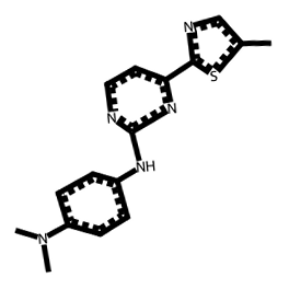 Cc1cnc(-c2ccnc(Nc3ccc(N(C)C)cc3)n2)s1